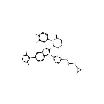 Cc1noc(C)c1-c1ccc2c(c1)nc([C@@H]1CCCC(=O)N1c1ccc(F)c(F)c1)n2-c1nc(CC(O)NC2CC2)cs1